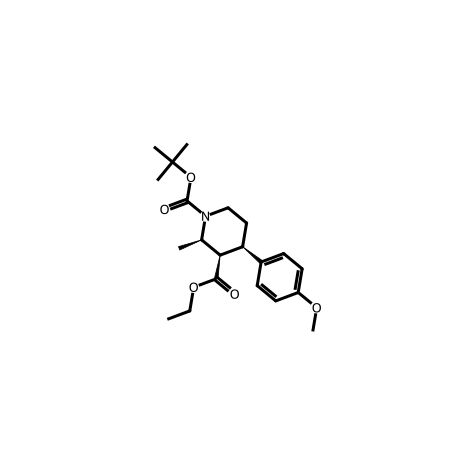 CCOC(=O)[C@H]1[C@@H](C)N(C(=O)OC(C)(C)C)CC[C@H]1c1ccc(OC)cc1